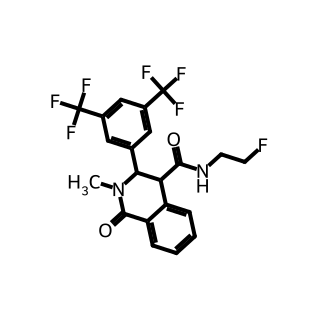 CN1C(=O)c2ccccc2C(C(=O)NCCF)C1c1cc(C(F)(F)F)cc(C(F)(F)F)c1